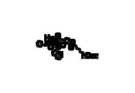 CCCCCCCCCCCCCCCC(=O)Oc1ccc(C[C@H]2C(=O)N(Cc3cccc4cccnc34)[C@@H](C)C3N2C(=O)CN(C)N3C(=O)NCc2ccccc2)cc1